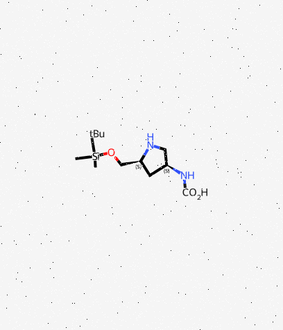 CC(C)(C)[Si](C)(C)OC[C@@H]1C[C@H](NC(=O)O)CN1